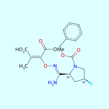 COC(=O)C(ON=C(N)[C@@H]1C[C@H](F)CN1C(=O)OCc1ccccc1)=C(C)C(=O)O